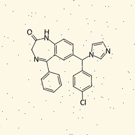 O=C1CN=C(c2ccccc2)c2cc(C(c3ccc(Cl)cc3)n3ccnc3)ccc2N1